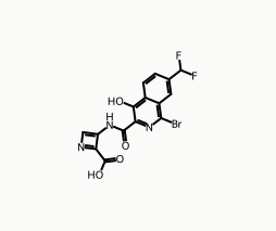 O=C(O)C1=NC=C1NC(=O)c1nc(Br)c2cc(C(F)F)ccc2c1O